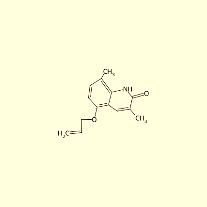 C=CCOc1ccc(C)c2[nH]c(=O)c(C)cc12